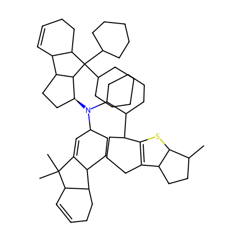 CC1CCC2C3=C(SC12)C(C1CCCCC1N(C1C=C2C(CC1)C1CCC=CC1C2(C)C)[C@H]1CCC2C4C=CCCC4C(C4CCCCC4)(C4CCCCC4)C21)CCC3